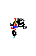 CC[C@@H](CS(=O)(=O)C(C)c1ccc(C#N)cc1)NC(=O)Oc1ccc(F)cc1